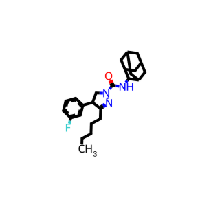 CCCCCC1=NN(C(=O)NC2C3CC4CC(C3)CC2C4)CC1c1cccc(F)c1